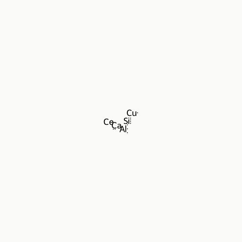 [Al].[Ca].[Ce].[Cu].[Si]